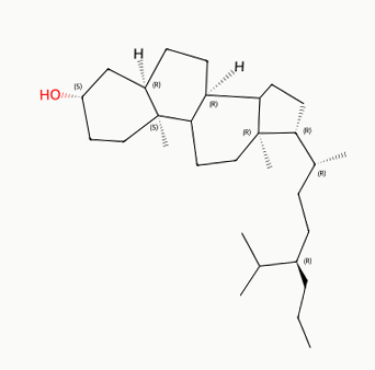 CCC[C@H](CC[C@@H](C)[C@H]1CCC2[C@@H]3CC[C@@H]4C[C@@H](O)CC[C@]4(C)C3CC[C@@]21C)C(C)C